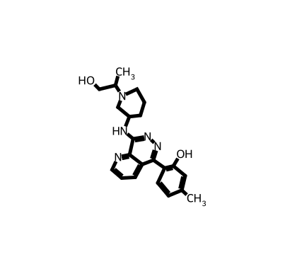 Cc1ccc(-c2nnc(NC3CCCN(C(C)CO)C3)c3ncccc23)c(O)c1